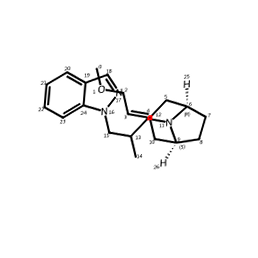 COCC=C1C[C@H]2CC[C@@H](C1)N2CC(C)Cn1ncc2ccccc21